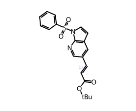 CC(C)(C)OC(=O)/C=C/c1cnc2c(ccn2S(=O)(=O)c2ccccc2)c1